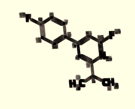 CC(C)c1cc(-c2ccc(F)cc2)cc(F)n1